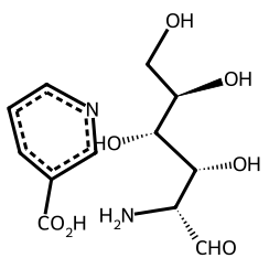 N[C@@H](C=O)[C@@H](O)[C@H](O)[C@H](O)CO.O=C(O)c1cccnc1